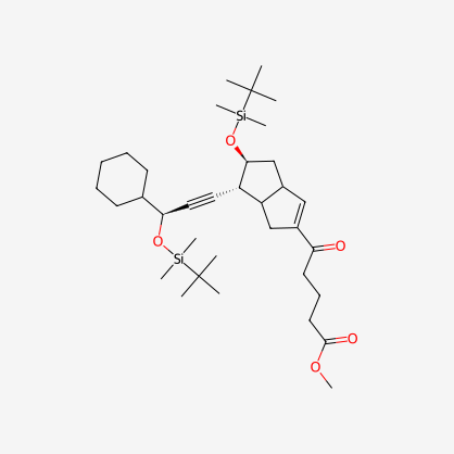 COC(=O)CCCC(=O)C1=CC2C[C@H](O[Si](C)(C)C(C)(C)C)[C@@H](C#C[C@@H](O[Si](C)(C)C(C)(C)C)C3CCCCC3)C2C1